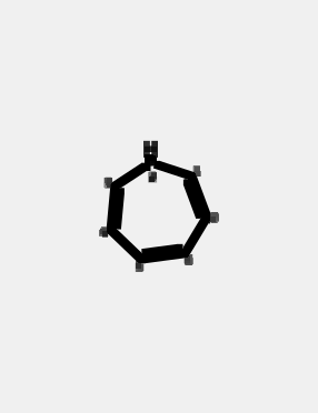 [C]1=CPC=CC=C1